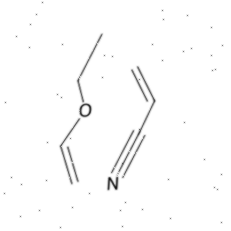 C=CC#N.C=COCC